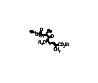 CCOC(=O)/C(C)=C/CN(C)C(=O)C(NC(=O)OC(C)(C)C)C(C)CC